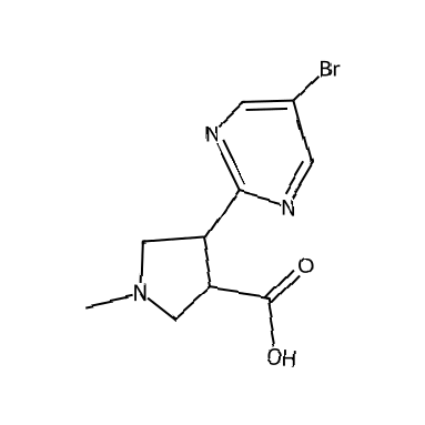 CN1CC(C(=O)O)C(c2ncc(Br)cn2)C1